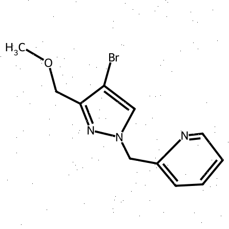 COCc1nn(Cc2ccccn2)cc1Br